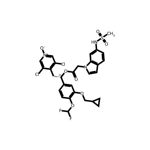 CS(=O)(=O)Nc1ccc2ccn(CC(=O)O[C@@H](Cc3c(Cl)c[n+]([O-])cc3Cl)c3ccc(OC(F)F)c(OCC4CC4)c3)c2c1